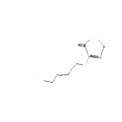 CCCCCNC1=CCOC1=O